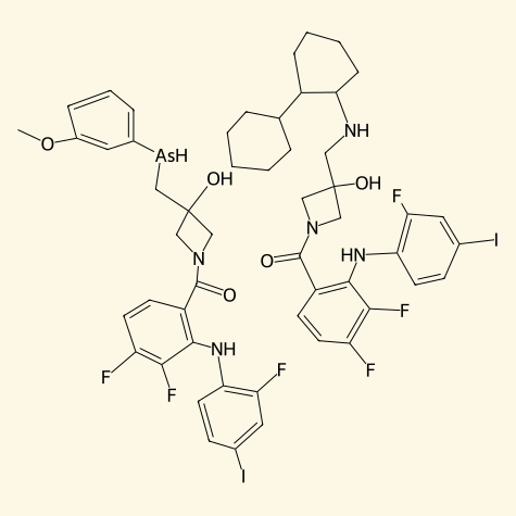 COc1cccc([AsH]CC2(O)CN(C(=O)c3ccc(F)c(F)c3Nc3ccc(I)cc3F)C2)c1.O=C(c1ccc(F)c(F)c1Nc1ccc(I)cc1F)N1CC(O)(CNC2CCCCC2C2CCCCC2)C1